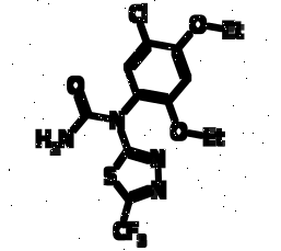 CCOc1cc(OCC)c(N(C(N)=O)c2nnc(C(F)(F)F)s2)cc1Cl